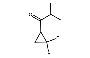 CC(C)C(=O)C1CC1(F)F